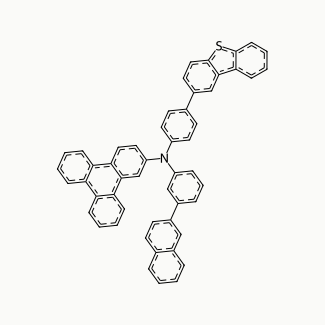 c1cc(-c2ccc3ccccc3c2)cc(N(c2ccc(-c3ccc4sc5ccccc5c4c3)cc2)c2ccc3c4ccccc4c4ccccc4c3c2)c1